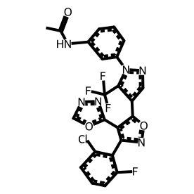 CC(=O)Nc1cccc(-n2ncc(-c3onc(-c4c(F)cccc4Cl)c3-c3nnco3)c2C(F)(F)F)c1